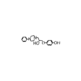 Oc1ccc(OC[C@@H](O)CN2CCN(c3ccccc3)CC2)cc1